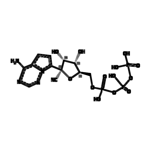 N#C[C@@]1(c2ccc3c(N)ncnn23)O[C@H](COP(=O)(O)OP(=O)(O)OP(=O)(O)O)[C@@H](O)[C@H]1O